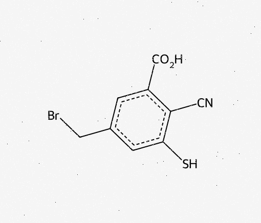 N#Cc1c(S)cc(CBr)cc1C(=O)O